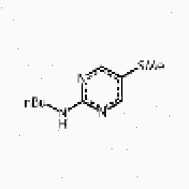 CCCCNc1ncc(SC)cn1